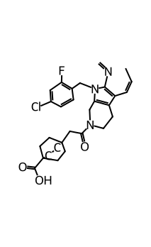 C=Nc1c(/C=C\C)c2c(n1Cc1ccc(Cl)cc1F)CN(C(=O)CC13CCC(C(=O)O)(CC1)CC3)CC2